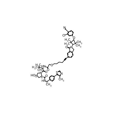 Cc1ncsc1-c1ccc([C@H](C)NC(=O)[C@H]2C[C@@H](O)CN2C(=O)[C@@H](NC(=O)COCCCCC#Cc2ccc3c(c2)C(=O)N(C2C(C)(C)C(Oc4ccc(C#N)c(Cl)c4)C2(C)C)C3)C(C)(C)C)cc1